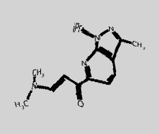 Cc1nn(C(C)C)c2nc(C(=O)C=CN(C)C)ccc12